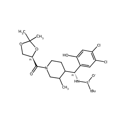 CC1CN(C(=O)[C@H]2COC(C)(C)O2)CCC1[C@@H](N[S+]([O-])C(C)(C)C)c1cc(Cl)c(Cl)cc1O